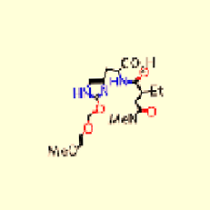 CCC(CC(=O)NC)C(=O)NC(Cc1c[nH]c(OCOCCOC)n1)C(=O)O